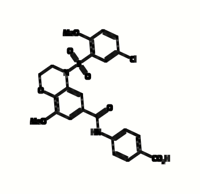 COc1ccc(Cl)cc1S(=O)(=O)N1CCOc2c(OC)cc(C(=O)Nc3ccc(C(=O)O)cc3)cc21